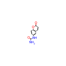 NC(=O)Nc1ccc2oc(=O)ccc2c1